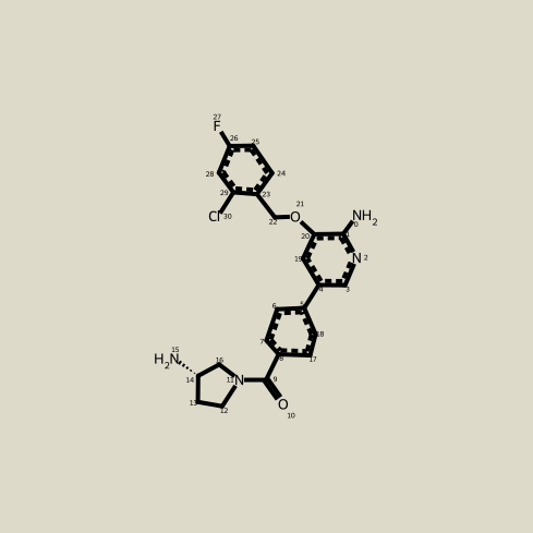 Nc1ncc(-c2ccc(C(=O)N3CC[C@H](N)C3)cc2)cc1OCc1ccc(F)cc1Cl